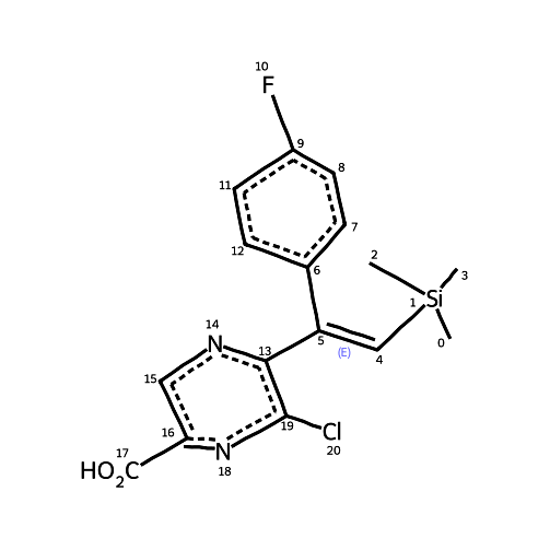 C[Si](C)(C)/C=C(\c1ccc(F)cc1)c1ncc(C(=O)O)nc1Cl